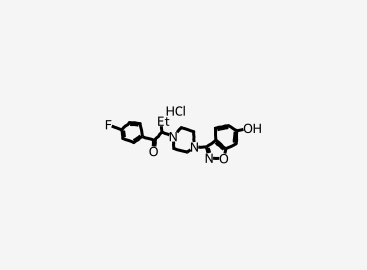 CCC(C(=O)c1ccc(F)cc1)N1CCN(c2noc3cc(O)ccc23)CC1.Cl